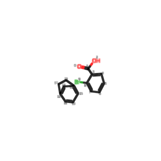 O=C(O)c1ccccc1Br.c1cc2cc(c1)CC2